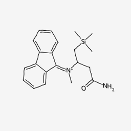 C[N+](=C1c2ccccc2-c2ccccc21)C(CC(N)=O)C[Si](C)(C)C